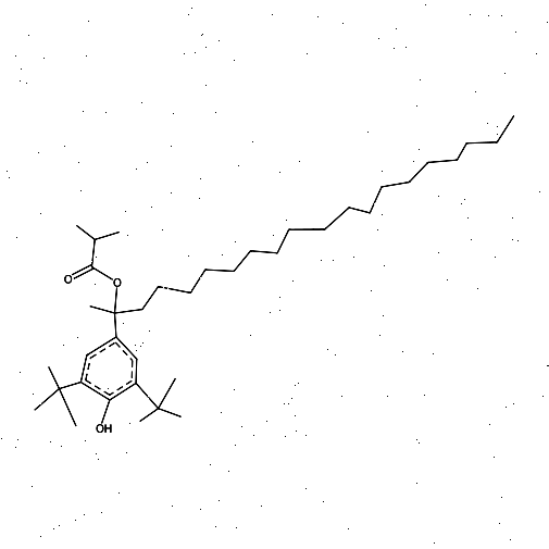 CCCCCCCCCCCCCCCCCCC(C)(OC(=O)C(C)C)c1cc(C(C)(C)C)c(O)c(C(C)(C)C)c1